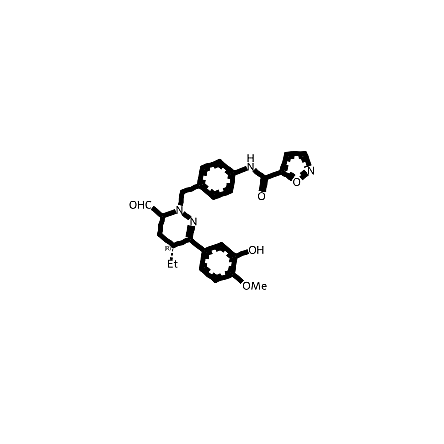 CC[C@@H]1CC(C=O)N(Cc2ccc(NC(=O)c3ccno3)cc2)N=C1c1ccc(OC)c(O)c1